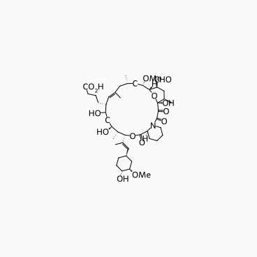 CO[C@H]1C[C@@H](C)C/C(C)=C/[C@@H](CCCC(=O)O)C(O)C[C@H](O)[C@@H](C)[C@@H](/C(C)=C/[C@@H]2CC[C@@H](O)[C@H](OC)C2)OC(=O)[C@@H]2CCCCN2C(=O)C(=O)[C@]2(O)O[C@H]1[C@@H](C=O)C[C@H]2C